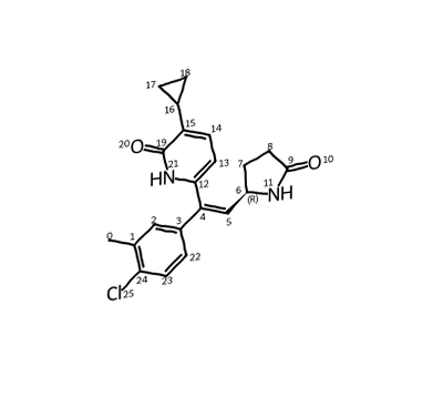 Cc1cc(C(=C[C@H]2CCC(=O)N2)c2ccc(C3CC3)c(=O)[nH]2)ccc1Cl